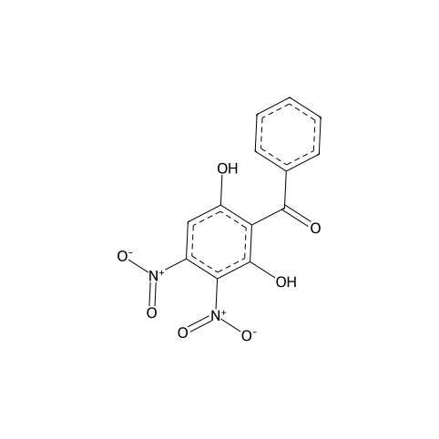 O=C(c1ccccc1)c1c(O)cc([N+](=O)[O-])c([N+](=O)[O-])c1O